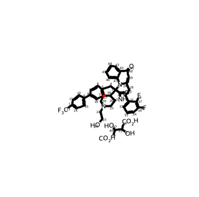 NC(=O)C(Cc1ccc(-c2ccc(C(F)(F)F)cc2)cc1)(C1CCN(CCO)CC1)n1c(CCc2cccc(F)c2F)cc(=O)c2ccccc21.O=C(O)C(O)C(O)C(=O)O